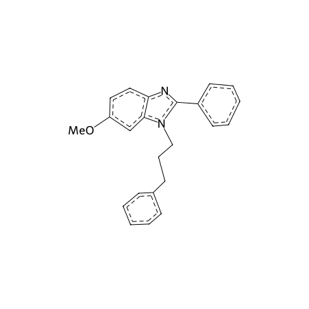 COc1ccc2nc(-c3ccccc3)n(CCCc3ccccc3)c2c1